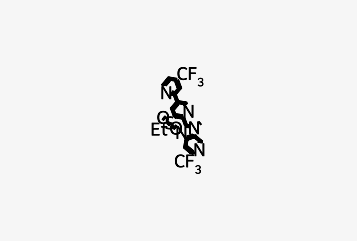 CCS(=O)(=O)c1cc(-c2cc(C(F)(F)F)ccn2)cnc1-c1nc2cc(C(F)(F)F)ncc2n1C